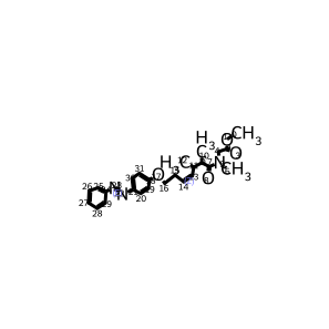 COC(=O)CN(C)C(=O)C(C)C(C)/C=C\CCOc1ccc(/N=N/c2ccccc2)cc1